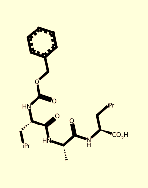 CC(C)C[C@H](NC(=O)[C@H](C)NC(=O)[C@H](CC(C)C)NC(=O)OCc1ccccc1)C(=O)O